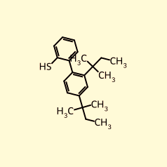 CCC(C)(C)c1ccc(-c2ccccc2S)c(C(C)(C)CC)c1